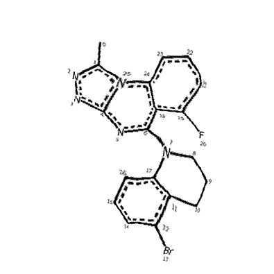 Cc1nnc2nc(N3CCCc4c(Br)cccc43)c3c(F)cccc3n12